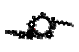 NCCOCCNC(=O)[C@@H]1CCNC(=O)/C=C/C(=O)N2CCC[C@](Cc3ccccc3)(C2)C(=O)N[C@@H](Cc2ccc(-c3ccc(NCC(=O)O)cc3)cc2)C(=O)NCc2ccccc2CC(=O)N1